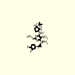 CCCSc1nc(NC2CC[C@H]3OC(C)(C)O[C@@H]23)c([N+](=O)[O-])c(N(P)C2C[C@H]2c2ccc(F)c(F)c2)n1